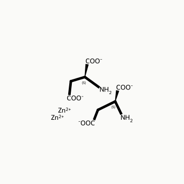 N[C@@H](CC(=O)[O-])C(=O)[O-].N[C@@H](CC(=O)[O-])C(=O)[O-].[Zn+2].[Zn+2]